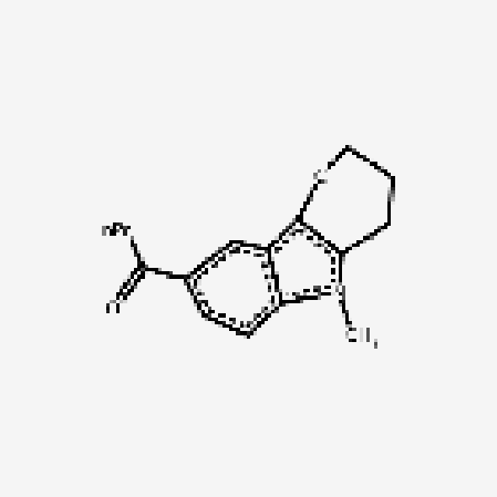 CCCC(=O)c1ccc2c(c1)c1c(n2C)CCCC1